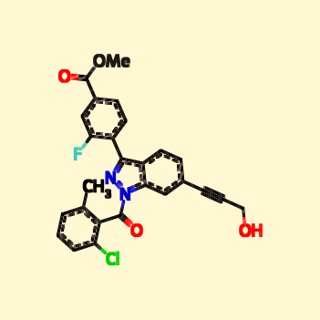 COC(=O)c1ccc(-c2nn(C(=O)c3c(C)cccc3Cl)c3cc(C#CCO)ccc23)c(F)c1